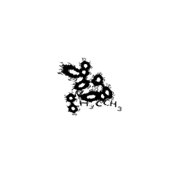 CC1(C)c2ccc(N(c3ccc(-c4cc5ccccc5c5ccccc45)cc3)c3cccc(-c4ccccc4)c3)cc2-c2c(-c3ccccc3)cccc21